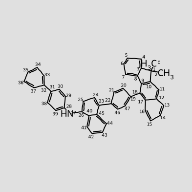 CC1(C)c2ccccc2-c2c1cc1ccccc1c2-c1ccc(-c2ccc(Nc3ccc(-c4ccccc4)cc3)c3ccccc23)cc1